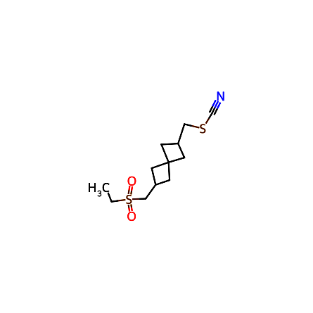 CCS(=O)(=O)CC1CC2(CC(CSC#N)C2)C1